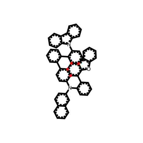 c1ccc(-c2ccccc2-n2c3ccccc3c3ccccc32)c(-c2ccc(N(c3ccc4ccccc4c3)c3ccccc3-c3cccc4c3oc3ccccc34)cc2)c1